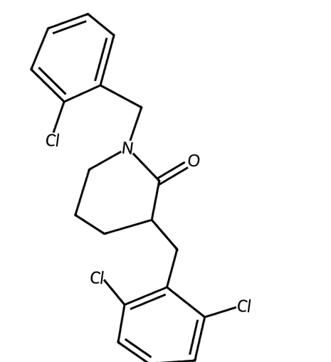 O=C1C(Cc2c(Cl)cccc2Cl)CCCN1Cc1ccccc1Cl